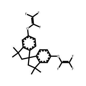 CC1(C)CC2(CC(C)(C)c3cc(OC(F)=C(F)F)ccc32)c2ccc(OC(F)=C(F)F)cc21